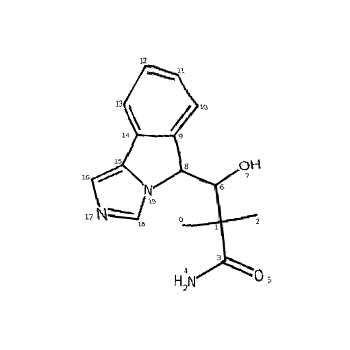 CC(C)(C(N)=O)C(O)C1c2ccccc2-c2cncn21